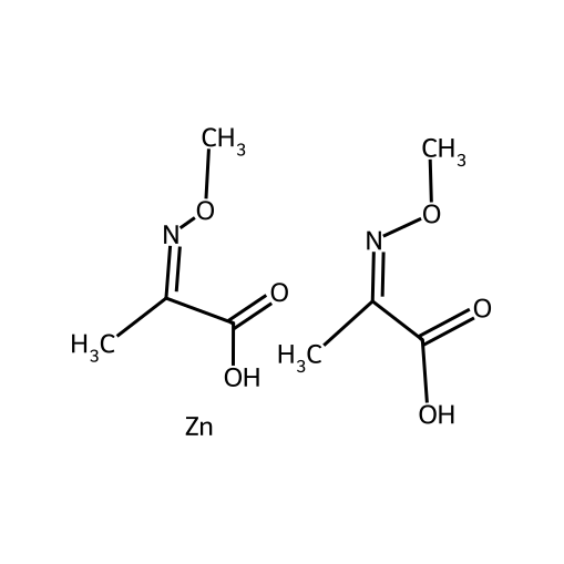 CON=C(C)C(=O)O.CON=C(C)C(=O)O.[Zn]